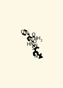 Cc1nc(NC(=O)N2CC[C@@H](CN3CCOCC3)[C@H]2C(N)=O)sc1-c1ccnc(C2(C)CC2)c1